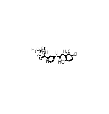 CCC(C)(C)NC(=O)c1cc(NC(=O)CC2=C(O)C=CC(Cl)C2C)ccn1